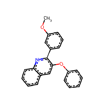 COc1cccc(-c2nc3ccccc3cc2Oc2ccccc2)c1